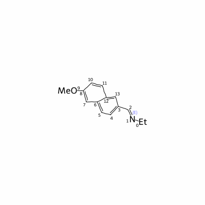 CC/N=C/c1ccc2cc(OC)ccc2c1